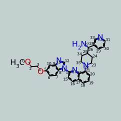 COCCOc1ccc2c(c1)ncn2-c1ccc2cccc(N3CCC(C(N)c4cccnc4)CC3)c2n1